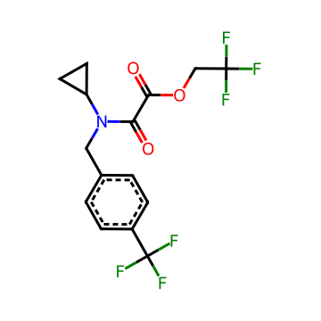 O=C(OCC(F)(F)F)C(=O)N(Cc1ccc(C(F)(F)F)cc1)C1CC1